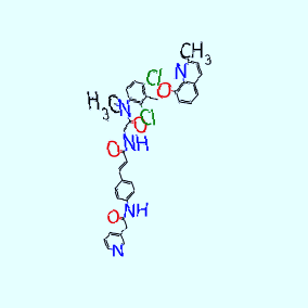 Cc1ccc2cccc(OCc3c(Cl)ccc(N(C)C(=O)CNC(=O)C=Cc4ccc(NC(=O)Cc5cccnc5)cc4)c3Cl)c2n1